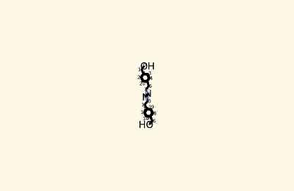 OCc1ccc(C/C=N/N=C/Cc2ccc(CO)cc2)cc1